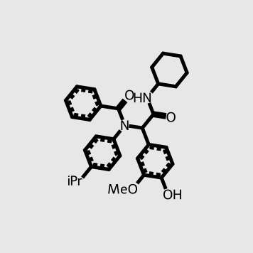 COc1cc(C(C(=O)NC2CCCCC2)N(C(=O)c2ccccc2)c2ccc(C(C)C)cc2)ccc1O